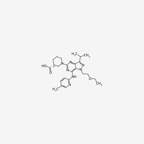 CCOCCn1nc(C(C)C)c2nc(N3CCC[C@@H](C(=O)O)C3)nc(Nc3ccc(C)cn3)c21